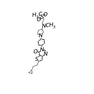 CN(CCS(C)(=O)=O)[C@@H]1CCN(c2ccc(-n3cnc4cc(CCC5CC5)sc4c3=O)cc2)C1